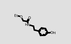 CCOCC(=O)NCCc1ccc(O)cc1